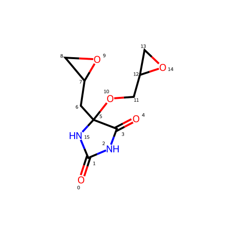 O=C1NC(=O)C(CC2CO2)(OCC2CO2)N1